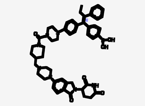 CC/C(=C(/c1ccc(B(O)O)cc1)c1ccc(N2CCN(C(=O)N3CCC(CN4CCN(c5ccc6c(c5)CN(C5CCC(=O)NC5=O)C6=O)CC4)CC3)CC2)cc1)c1ccccc1